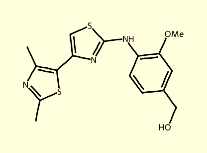 COc1cc(CO)ccc1Nc1nc(-c2sc(C)nc2C)cs1